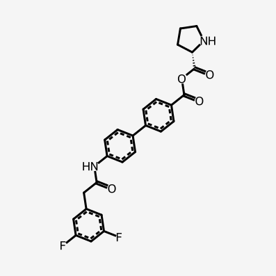 O=C(Cc1cc(F)cc(F)c1)Nc1ccc(-c2ccc(C(=O)OC(=O)[C@@H]3CCCN3)cc2)cc1